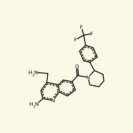 NCc1cc(N)nc2ccc(C(=O)N3CCCCC3c3ccc(C(F)(F)F)cc3)cc12